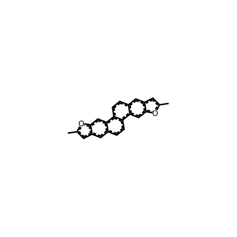 Cc1cc2cc3ccc4c5cc6oc(C)cc6cc5ccc4c3cc2o1